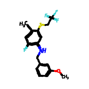 COc1cccc(CNc2cc(SCC(F)(F)F)c(C)cc2F)c1